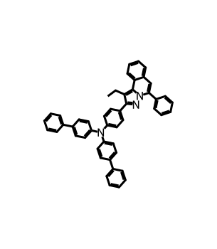 CCc1c(-c2ccc(N(c3ccc(-c4ccccc4)cc3)c3ccc(-c4ccccc4)cc3)cc2)nn2c(-c3ccccc3)cc3ccccc3c12